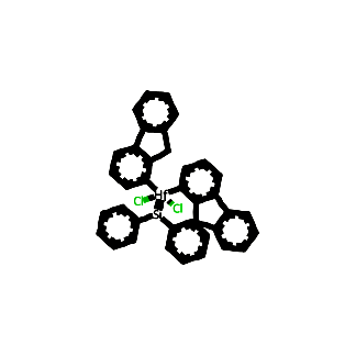 [Cl][Hf]([Cl])([c]1cccc2c1Cc1ccccc1-2)([c]1cccc2c1Cc1ccccc1-2)=[Si](c1ccccc1)c1ccccc1